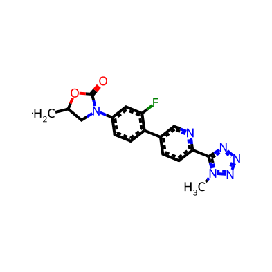 [CH2]C1CN(c2ccc(-c3ccc(-c4nnnn4C)nc3)c(F)c2)C(=O)O1